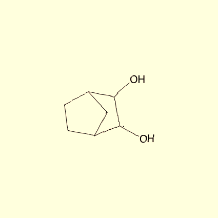 O[C]1C2CCC(C2)C1O